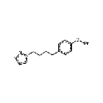 CC(C)Oc1ccc(CCCCn2ccnn2)cc1